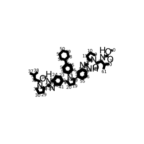 COC(=O)N[C@H](C(=O)N1CCC[C@H]1c1nc2cc([C@H]3CC[C@H](c4ccc5[nH]c([C@@H]6CCCN6C(=O)[CH]C(C)C)nc5c4)N3c3ccc(C4CCCCC4)cc3)ccc2[nH]1)C(C)C